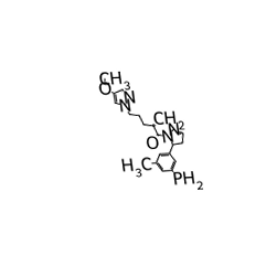 C=C(CCCn1cc(OC)cn1)C(=O)N1N=CCC1c1cc(C)cc(P)c1